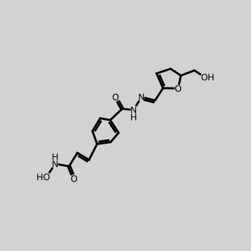 O=C(/C=C/c1ccc(C(=O)N/N=C/C2=CCC(CO)O2)cc1)NO